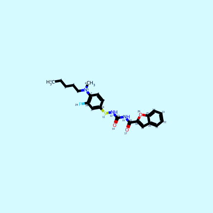 CCCCCN(C)c1ccc(SNC(=O)NC(=O)c2cc3ccccc3o2)cc1F